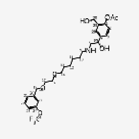 CC(=O)Oc1ccc([C@@H](O)CNCCCCCCOCCOCc2cccc(OC(F)(F)F)c2)cc1CO